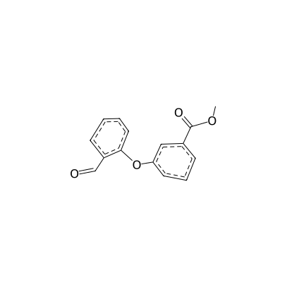 COC(=O)c1cccc(Oc2ccccc2C=O)c1